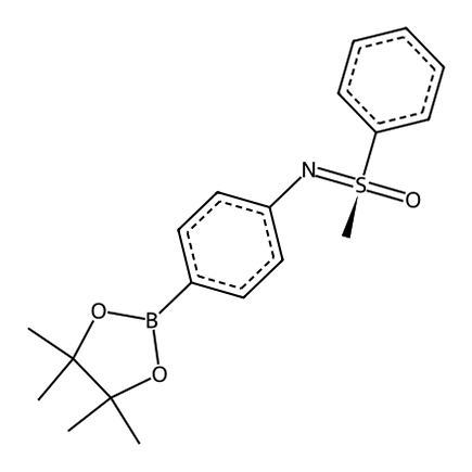 CC1(C)OB(c2ccc(N=[S@@](C)(=O)c3ccccc3)cc2)OC1(C)C